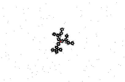 C1=CC(C2C=Cc3sc4c(-c5ccc6c(c5)c5cc(-c7cc(-c8ccccc8)cc8c7sc7ccc(-c9ccccc9)cc78)ccc5n6-c5ccc(-c6ccc7c(-c8ccccc8)c8ccccc8c(-c8ccccc8)c7c6)cc5)cc(-c5ccccc5)cc4c3C2)=CCC1